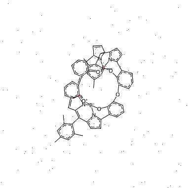 Cc1cc(C)c(C2=C3C=CC4c5cccc6c5=[O+][B-]5(Oc7c(cccc7-c7ccc2n75)Oc2cccc5c2O[B-]27[O+]=c8c(cccc8=6)C6C=CC(=C(c8c(C)cc(C)cc8C)c8ccc-5n82)N67)N34)c(C)c1